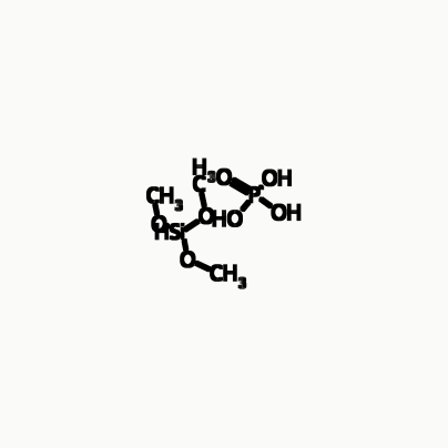 CO[SiH](OC)OC.O=P(O)(O)O